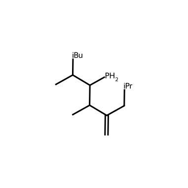 C=C(CC(C)C)C(C)C(P)C(C)C(C)CC